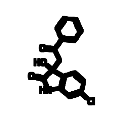 O=C(CC1(O)C(=O)Nc2cc(Cl)ccc21)c1ccccc1